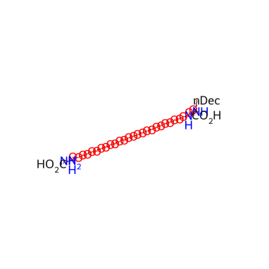 CCCCCCCCCCCCCCCC(=O)N[C@@H](CCC(=O)NCCOCCOCCOCCOCCOCCOCCOCCOCCOCCOCCOCCOCCOCCOCCOCCOCCOCCOCCOCCOCCOCCOCCOCCOCCC(=O)NCCCC[C@H](N)C(=O)O)C(=O)O